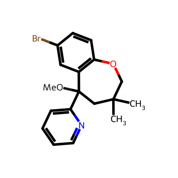 COC1(c2ccccn2)CC(C)(C)COc2ccc(Br)cc21